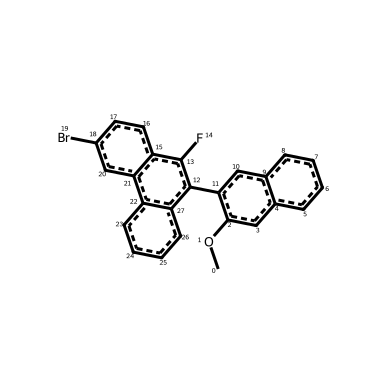 COc1cc2ccccc2cc1-c1c(F)c2ccc(Br)cc2c2ccccc12